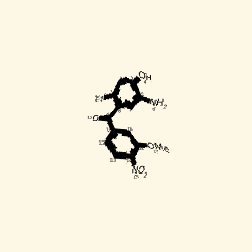 CCc1cc(O)c(N)cc1C(=O)c1ccc([N+](=O)[O-])c(OC)c1